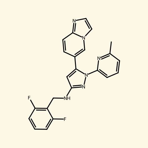 Cc1cccc(-n2nc(NCc3c(F)cccc3F)cc2-c2ccc3nccn3c2)n1